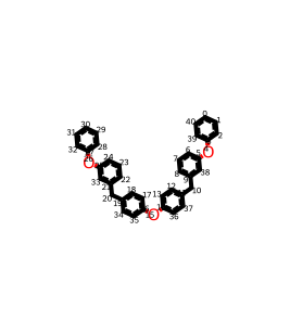 c1ccc(Oc2cccc(Cc3ccc(Oc4ccc(Cc5cccc(Oc6ccccc6)c5)cc4)cc3)c2)cc1